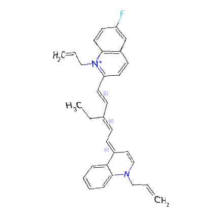 C=CCN1C=C\C(=C/C=C(/C=C/c2ccc3cc(F)ccc3[n+]2CC=C)CC)c2ccccc21